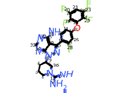 N=C(N)N1CCCC(n2nc(-c3ccc(Oc4c(F)c(F)cc(F)c4F)cc3F)c3c(N)ncnc32)C1